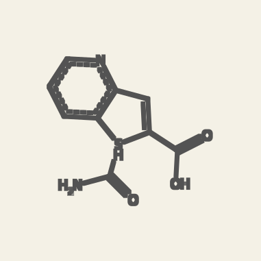 NC(=O)[SH]1C(C(=O)O)=Cc2ncccc21